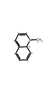 CN1C=CC=C2C=CC=CC21